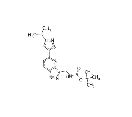 CC(C)c1cc(-c2ccc3nnc(CNC(=O)OC(C)(C)C)n3n2)sn1